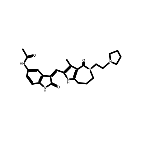 CC(=O)Nc1ccc2c(c1)C(=Cc1[nH]c3c(c1C)C(=O)N(CCN1CCCC1)CCC3)C(=O)N2